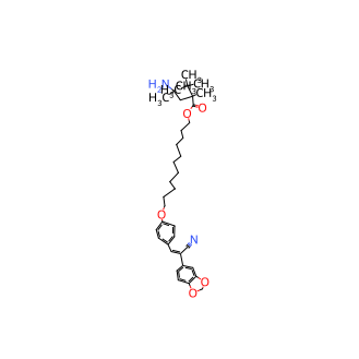 CC(C)(N)CC(C)(C(=O)OCCCCCCCCCCCOc1ccc(/C=C(\C#N)c2ccc3c(c2)OCO3)cc1)C(C)(C)C